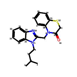 CC(C)CCn1c(CN2C(=O)CSc3ccccc32)nc2ccccc21